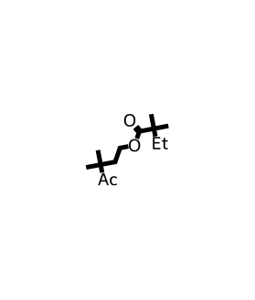 CCC(C)(C)C(=O)OCCC(C)(C)C(C)=O